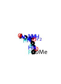 COc1ccc(F)cc1C(=O)NCc1ccc(-c2nn(C3CCN(C4COC4)CC3(F)F)c(N)c2C(N)=O)cc1F